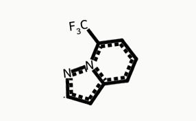 FC(F)(F)c1cccc2c[c]nn12